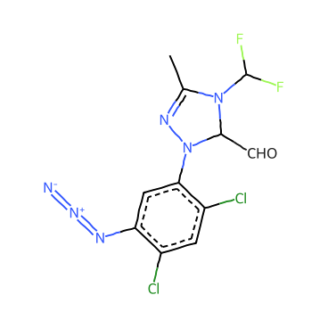 CC1=NN(c2cc(N=[N+]=[N-])c(Cl)cc2Cl)C(C=O)N1C(F)F